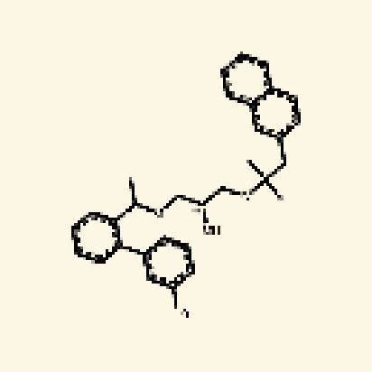 CC(C)c1cccc(-c2ccccc2C(C)OC[C@H](O)CNC(C)(C)Cc2ccc3ccccc3c2)c1